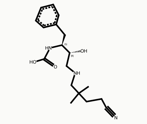 CC(C)(CCC#N)CNC[C@@H](O)[C@H](Cc1ccccc1)NC(=O)O